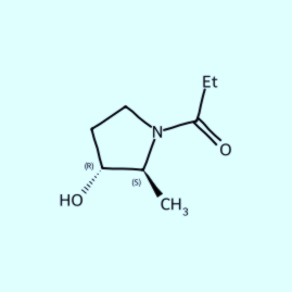 CCC(=O)N1CC[C@@H](O)[C@@H]1C